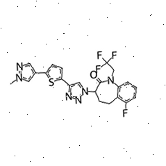 Cn1cc(-c2ccc(-c3cn(C4CCc5c(F)cccc5N(CC(F)(F)F)C4=O)nn3)s2)cn1